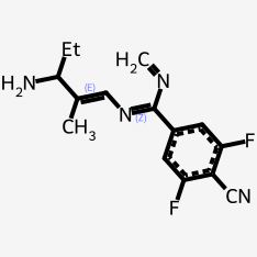 C=N/C(=N\C=C(/C)C(N)CC)c1cc(F)c(C#N)c(F)c1